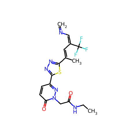 C=N/C=C(\C=C(/C)c1nnc(-c2ccc(=O)n(CC(=O)NCC)n2)s1)C(F)(F)F